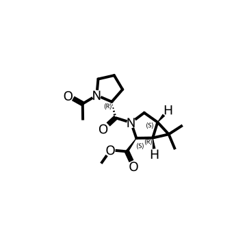 COC(=O)[C@@H]1[C@@H]2[C@H](CN1C(=O)[C@H]1CCCN1C(C)=O)C2(C)C